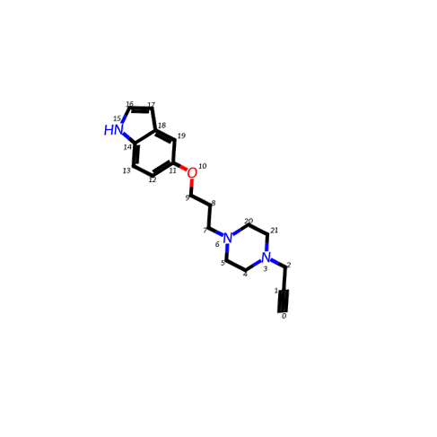 C#CCN1CCN(CCCOc2ccc3[nH]ccc3c2)CC1